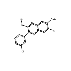 CCNc1nc2cc(OC)c(Cl)cc2nc1-c1cccc(Cl)c1